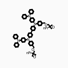 CCCC1(COCc2ccc(N(c3ccc(-c4ccc(N(c5ccc(COCC6(CCC)COC6)cc5)c5ccc(N(c6ccccc6)c6ccccc6)cc5)cc4)cc3)c3ccc(N(c4ccccc4)c4ccccc4)cc3)cc2)COC1